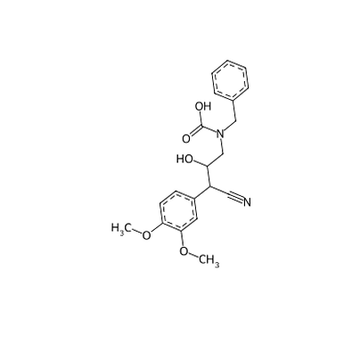 COc1ccc(C(C#N)C(O)CN(Cc2ccccc2)C(=O)O)cc1OC